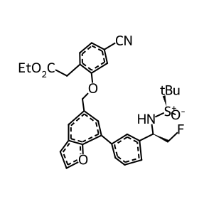 CCOC(=O)Cc1ccc(C#N)cc1OCc1cc(-c2cccc([C@H](CF)N[S@+]([O-])C(C)(C)C)c2)c2occc2c1